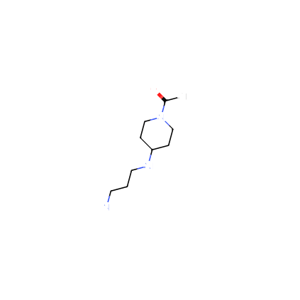 CC(=O)N1CCC(NCCCN)CC1